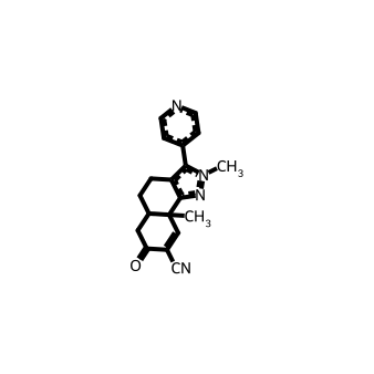 Cn1nc2c(c1-c1ccncc1)CCC1CC(=O)C(C#N)=CC21C